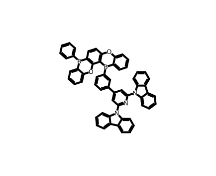 c1ccc(B2c3ccccc3Oc3c2ccc2c3B(c3cccc(-c4cc(-n5c6ccccc6c6ccccc65)nc(-n5c6ccccc6c6ccccc65)c4)c3)c3ccccc3O2)cc1